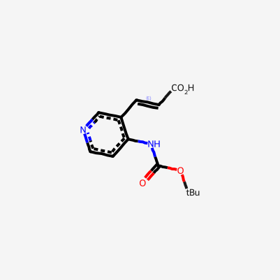 CC(C)(C)OC(=O)Nc1ccncc1/C=C/C(=O)O